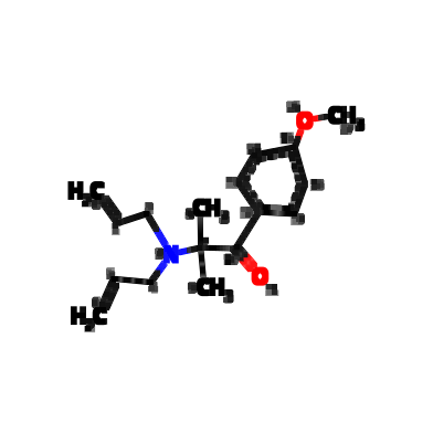 C=CCN(CC=C)C(C)(C)C(=O)c1ccc(OC)cc1